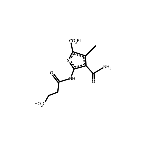 CCOC(=O)c1sc(NC(=O)CCC(=O)O)c(C(N)=O)c1C